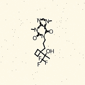 Cn1cnc2c1c(=O)n(CCCC1(C(C)(O)C(F)(F)F)CCC1)c(=O)n2C